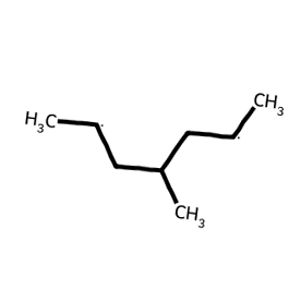 C[CH]CC(C)C[CH]C